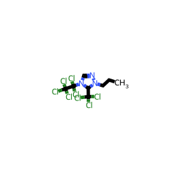 CCCN1N=CN(C(Cl)(Cl)C(Cl)(Cl)Cl)C1C(Cl)(Cl)Cl